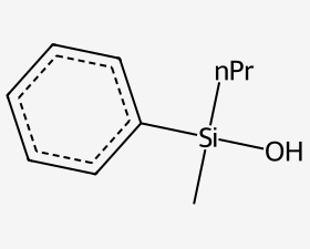 CCC[Si](C)(O)c1ccccc1